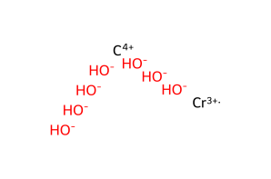 [C+4].[Cr+3].[OH-].[OH-].[OH-].[OH-].[OH-].[OH-].[OH-]